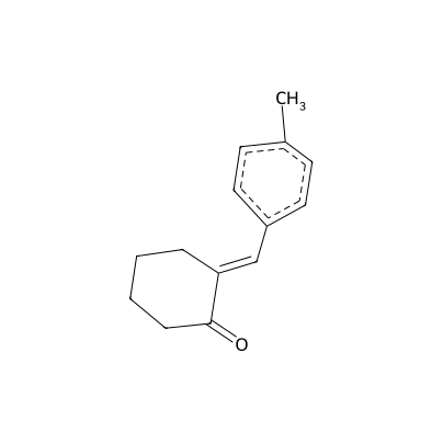 Cc1ccc(C=C2CCCCC2=O)cc1